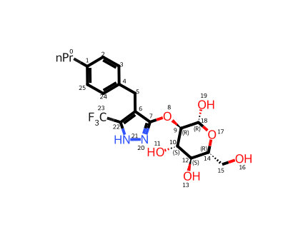 CCCc1ccc(Cc2c(O[C@@H]3[C@@H](O)[C@H](O)[C@@H](CO)O[C@H]3O)n[nH]c2C(F)(F)F)cc1